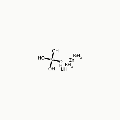 B.O[Si](O)(O)O.[BiH3].[LiH].[Zn]